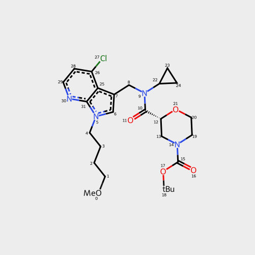 COCCCCn1cc(CN(C(=O)[C@H]2CN(C(=O)OC(C)(C)C)CCO2)C2CC2)c2c(Cl)ccnc21